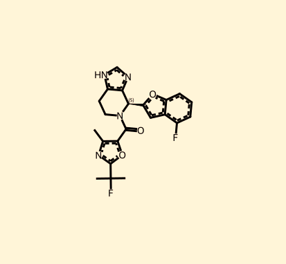 Cc1nc(C(C)(C)F)oc1C(=O)N1CCc2[nH]cnc2[C@H]1c1cc2c(F)cccc2o1